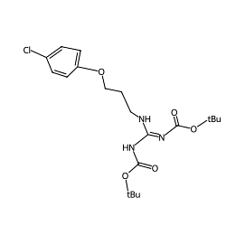 CC(C)(C)OC(=O)/N=C(\NCCCOc1ccc(Cl)cc1)NC(=O)OC(C)(C)C